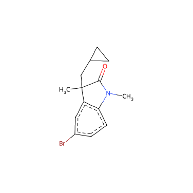 CN1C(=O)C(C)(CC2CC2)c2cc(Br)ccc21